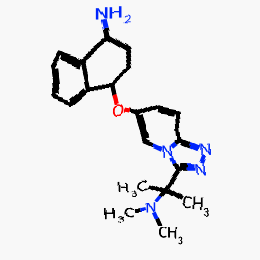 CN(C)C(C)(C)c1nnc2ccc(OC3CCC(N)c4ccccc43)cn12